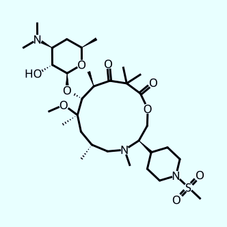 CO[C@]1(C)C[C@@H](C)CN(C)[C@H](C2CCN(S(C)(=O)=O)CC2)COC(=O)C(C)(C)C(=O)[C@H](C)[C@H]1O[C@@H]1O[C@H](C)C[C@H](N(C)C)[C@H]1O